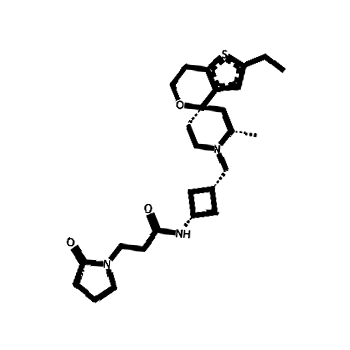 CCc1cc2c(s1)CCO[C@@]21CCN(C[C@H]2C[C@@H](NC(=O)CCN3CCCC3=O)C2)[C@@H](C)C1